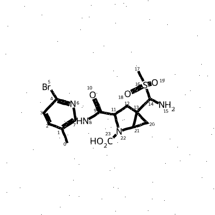 Cc1ccc(Br)nc1NC(=O)C1CC2(C(N)S(C)(=O)=O)CC2N1C(=O)O